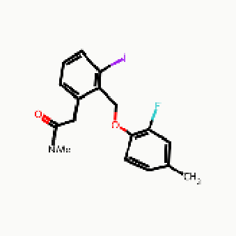 CNC(=O)Cc1cccc(I)c1COc1ccc(C)cc1F